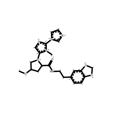 COC1CC(C(=O)NCCc2ccc3c(c2)OCO3)N(c2cnc(-n3ccnc3)n2C)C1